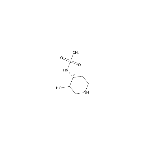 CS(=O)(=O)N[C@@H]1CCNCC1O